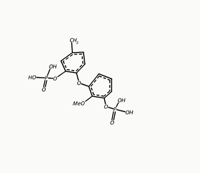 COc1c(Oc2ccc(C)cc2OP(=O)(O)O)cccc1OP(=O)(O)O